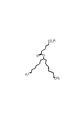 C=CCCCCCC(CCCCCC=C)OC(=O)CCCCC(=O)O